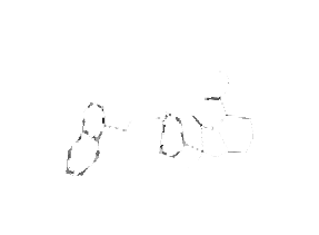 CC1(c2ccc(OCc3ccnc4ccccc34)cc2)CC2CCCC(C(=O)NO)N2C1=O